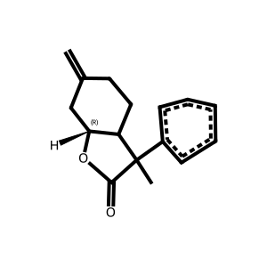 C=C1CCC2[C@@H](C1)OC(=O)C2(C)c1ccccc1